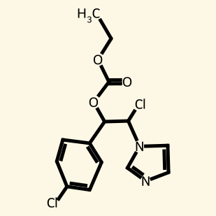 CCOC(=O)OC(c1ccc(Cl)cc1)C(Cl)n1ccnc1